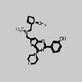 CN(Cc1cc2nc(-c3cccc(O)c3)nc(N3CCOCC3)c2s1)CC1CCCN1C